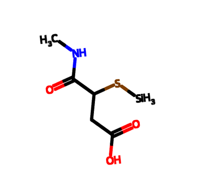 CNC(=O)C(CC(=O)O)S[SiH3]